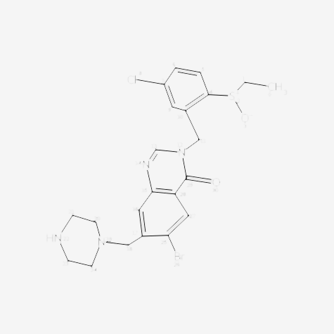 CC[S+]([O-])c1ccc(Cl)cc1Cn1cnc2cc(CN3CCNCC3)c(Br)cc2c1=O